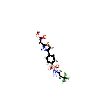 COC(=O)Cc1nc(-c2ccc(S(=O)(=O)NCCC(F)(F)F)cc2)cs1